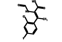 CC(=C(NC=O)C(=O)O)c1ccc(F)cc1Cl